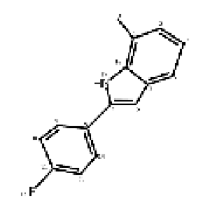 Cc1c[c]cc2cc(-c3ccc(F)cc3)[nH]c12